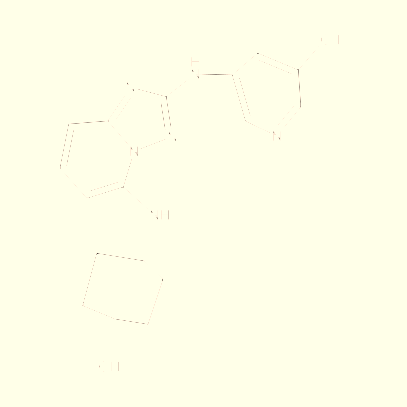 Cc1cncc(Nc2nc3cccc(N[C@H]4CC[C@@H](O)CC4)n3n2)c1